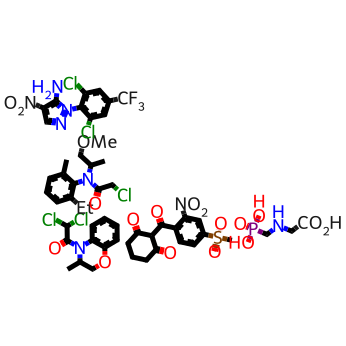 CC1COc2ccccc2N1C(=O)C(Cl)Cl.CCc1cccc(C)c1N(C(=O)CCl)C(C)COC.CS(=O)(=O)c1ccc(C(=O)C2C(=O)CCCC2=O)c([N+](=O)[O-])c1.Nc1c([N+](=O)[O-])cnn1-c1c(Cl)cc(C(F)(F)F)cc1Cl.O=C(O)CNCP(=O)(O)O